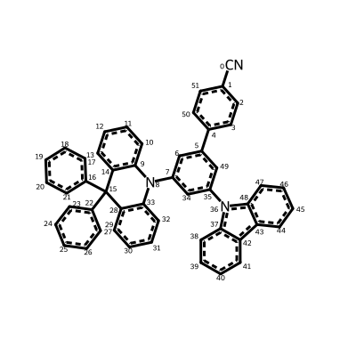 N#Cc1ccc(-c2cc(N3c4ccccc4C(c4ccccc4)(c4ccccc4)c4ccccc43)cc(-n3c4ccccc4c4ccccc43)c2)cc1